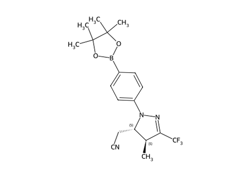 C[C@@H]1C(C(F)(F)F)=NN(c2ccc(B3OC(C)(C)C(C)(C)O3)cc2)[C@H]1CC#N